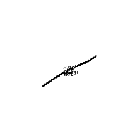 CCCCCCCCCCCCCCCCCCOC(=O)[C@@H](N)CCC(=O)OC(=O)CCCCCCCCCCCCCCCCC.OCC(O)CO